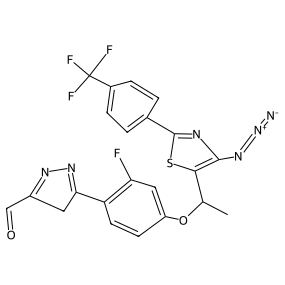 CC(Oc1ccc(C2=NN=C(C=O)C2)c(F)c1)c1sc(-c2ccc(C(F)(F)F)cc2)nc1N=[N+]=[N-]